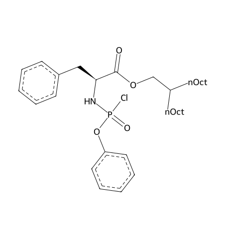 CCCCCCCCC(CCCCCCCC)COC(=O)[C@H](Cc1ccccc1)NP(=O)(Cl)Oc1ccccc1